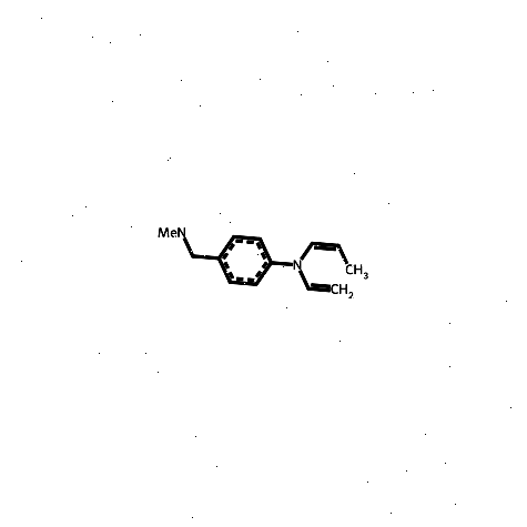 C=CN(/C=C\C)c1ccc(CNC)cc1